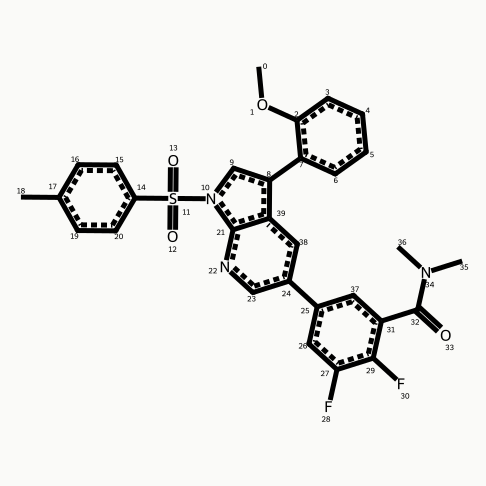 COc1ccccc1-c1cn(S(=O)(=O)c2ccc(C)cc2)c2ncc(-c3cc(F)c(F)c(C(=O)N(C)C)c3)cc12